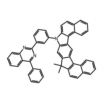 CC1(C)c2cc3c(cc2-c2c1ccc1ccccc21)c1c2ccccc2ccc1n3-c1cccc(-c2nc(-c3ccccc3)c3ccccc3n2)c1